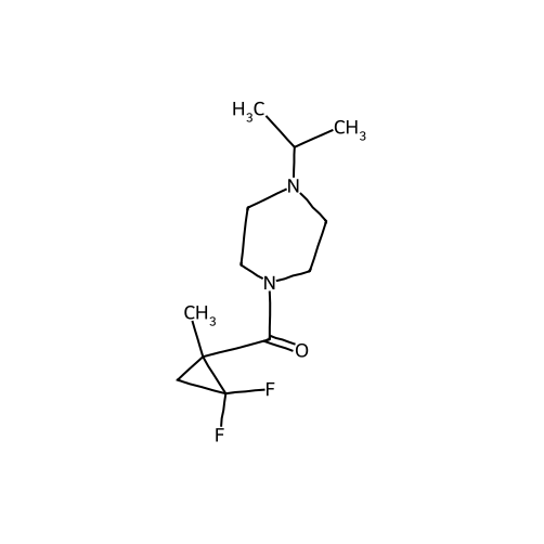 CC(C)N1CCN(C(=O)C2(C)CC2(F)F)CC1